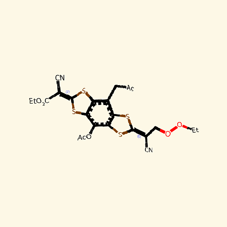 CCOOC/C(C#N)=C1\Sc2c(CC(C)=O)c3c(c(OC(C)=O)c2S1)S/C(=C(/C#N)C(=O)OCC)S3